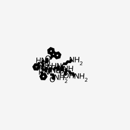 NCCCC[C@H](NC(=O)[C@H](CCCCN)NC(=O)CNC(=O)[C@H](CCC(N)=O)NC(=O)[C@H](Cc1ccccc1)NC(=O)[C@H](Cc1ccccc1)NC(=O)OCC1c2ccccc2-c2ccccc21)C(=O)O